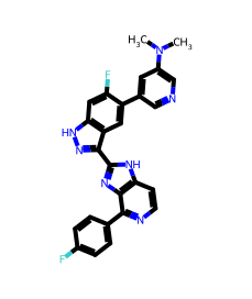 CN(C)c1cncc(-c2cc3c(-c4nc5c(-c6ccc(F)cc6)nccc5[nH]4)n[nH]c3cc2F)c1